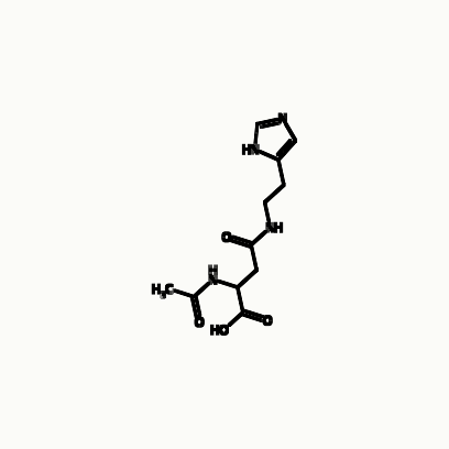 CC(=O)NC(CC(=O)NCCc1cnc[nH]1)C(=O)O